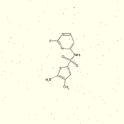 Cc1cc(S(=O)(=O)Nc2cccc(F)n2)sc1N